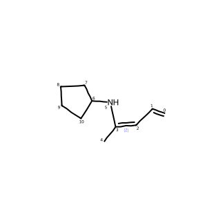 C=C/C=C(/C)NC1CCCC1